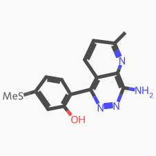 CSc1ccc(-c2nnc(N)c3nc(C)ccc23)c(O)c1